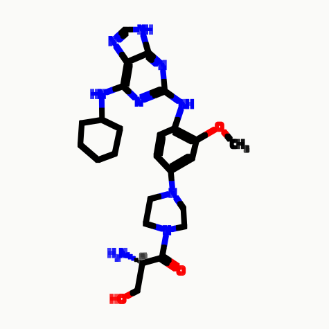 COc1cc(N2CCN(C(=O)[C@@H](N)CO)CC2)ccc1Nc1nc(NC2CCCCC2)c2nc[nH]c2n1